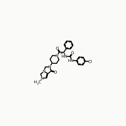 CN1C=C2C(=O)N(C3CCN(C(=O)[C@H](NC(=O)Nc4ccc(Cl)cc4)c4ccccc4)CC3)CN2C1